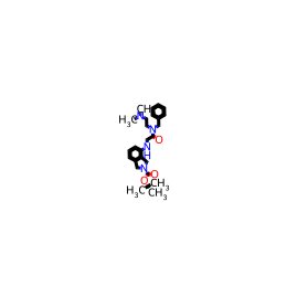 CN(C)CCN(Cc1ccccc1)C(=O)CNc1cccc2c1CN(C(=O)OC(C)(C)C)C2